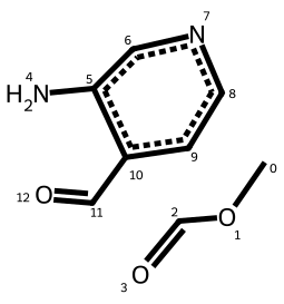 COC=O.Nc1cnccc1C=O